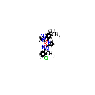 Cc1cc(C(=O)N2CCCC2c2nc(-c3cccc(Cl)c3C)no2)c(-n2nccn2)cc1C